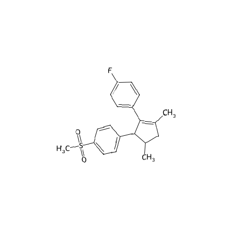 CC1=C(c2ccc(F)cc2)C(c2ccc(S(C)(=O)=O)cc2)C(C)C1